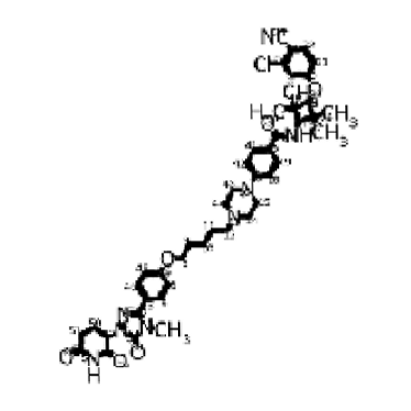 Cn1c(-c2ccc(OCCCCCN3CCN(c4ccc(C(=O)NC5C(C)(C)C(Oc6ccc(C#N)c(Cl)c6)C5(C)C)cc4)CC3)cc2)nn([C@@H]2CCC(=O)NC2=O)c1=O